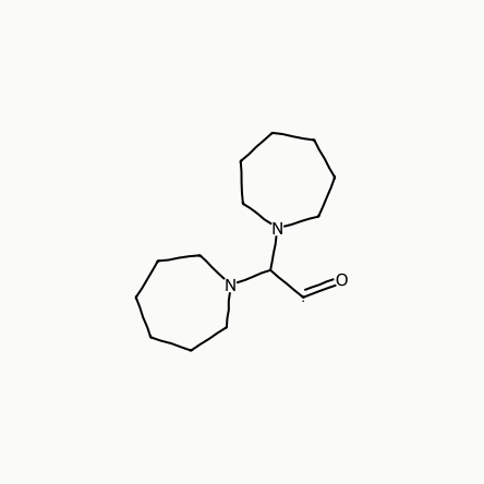 O=[C]C(N1CCCCCC1)N1CCCCCC1